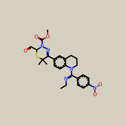 CCN=C(c1ccc([N+](=O)[O-])cc1)N1CCCc2cc(C3=NN(C(=O)OC)C(C=O)SC3(C)C)ccc21